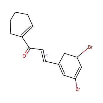 O=C(/C=C/C1=CC(Br)=CC(Br)C1)C1=CCCCC1